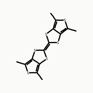 Cc1sc(C)c2c1SC(=C1Sc3c(C)sc(C)c3S1)S2